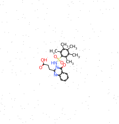 Cc1c(C)c(C)c(S(=O)(=O)Nn2c(CCC(=O)O)nc3ccccc3c2=O)c(C)c1C